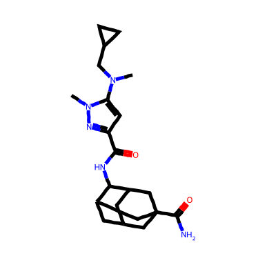 CN(CC1CC1)c1cc(C(=O)NC2C3CC4CC2CC(C(N)=O)(C4)C3)nn1C